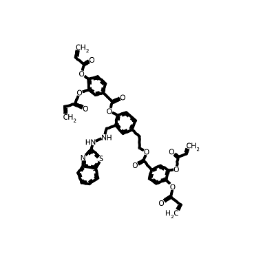 C=CC(=O)Oc1ccc(C(=O)OCCc2ccc(OC(=O)c3ccc(OC(=O)C=C)c(OC(=O)C=C)c3)c(CNNc3nc4ccccc4s3)c2)cc1OC(=O)C=C